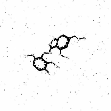 COCc1cc(OC)c2c(NSc3c(OC)ccc(Cl)c3OC)noc2c1